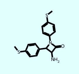 CSc1ccc(C2C(N)C(=O)N2c2ccc(SC)cc2)cc1